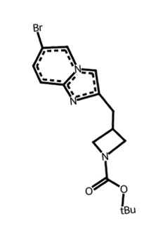 CC(C)(C)OC(=O)N1CC(Cc2cn3cc(Br)ccc3n2)C1